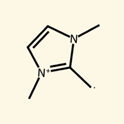 [CH2]c1n(C)cc[n+]1C